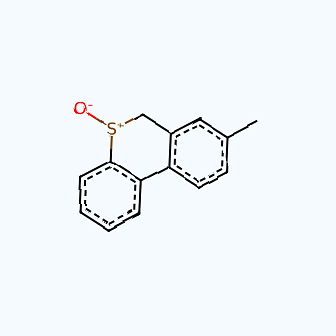 Cc1ccc2c(c1)C[S+]([O-])c1ccccc1-2